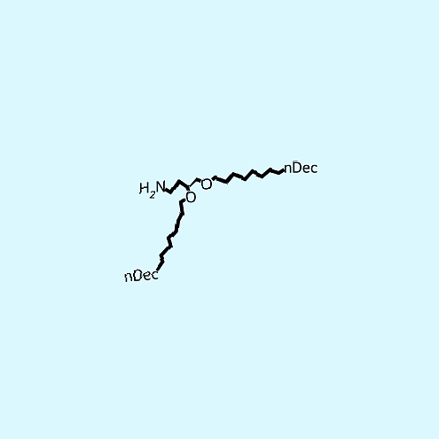 CCCCCCCCCCCCCCCCCCOC[C@H](CCN)OCCCCCCCCCCCCCCCCCC